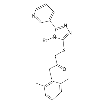 CCn1c(SCC(=O)Cc2c(C)cccc2C)nnc1-c1cccnc1